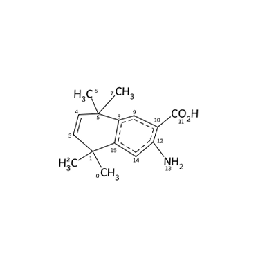 CC1(C)C=CC(C)(C)c2cc(C(=O)O)c(N)cc21